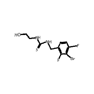 OCCNC(=S)NCc1ccc(F)c(Br)c1F